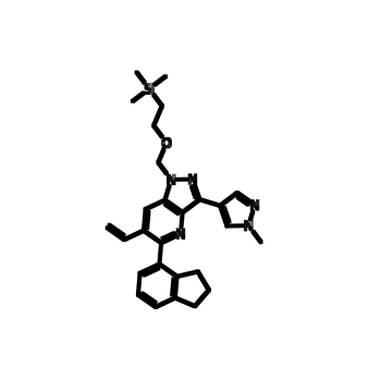 C=Cc1cc2c(nc1-c1cccc3c1CCC3)c(-c1cnn(C)c1)nn2COCC[Si](C)(C)C